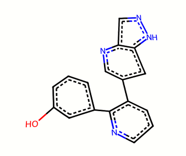 Oc1cccc(-c2ncccc2-c2cnc3cn[nH]c3c2)c1